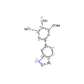 COc1cc(-c2ccc3c[c][nH]c3c2)cc(OC)c1OC